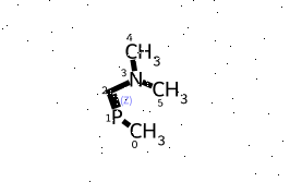 C/P=C\N(C)C